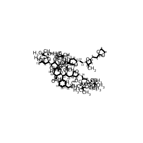 C=C1C[C@H](CCC2OCCO2)O[C@H]1CC[C@H]1C[C@@H](C)C(=C)[C@@H](C[C@@H]2O[C@H](CC(CO[Si](C)(C)C(C)(C)C)O[Si](C)(C)C(C)(C)C)[C@H](OC)C2CC(=O)C(c2cc(CC)ccc2[SH](=O)=O)[C@H]2CC[C@@H]3O[C@@H](C(/C=C/I)O[Si](C)(C)C(C)(C)C)C(O[Si](C)(C)C(C)(C)C)C(O[Si](C)(C)C(C)(C)C)[C@H]3O2)O1